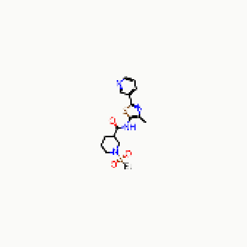 CCS(=O)(=O)N1CCCC(C(=O)Nc2sc(-c3cccnc3)nc2C)C1